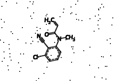 C=CC(=O)N(C)c1cccc(Cl)c1C#N